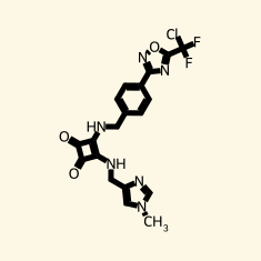 Cn1cnc(CNc2c(NCc3ccc(-c4noc(C(F)(F)Cl)n4)cc3)c(=O)c2=O)c1